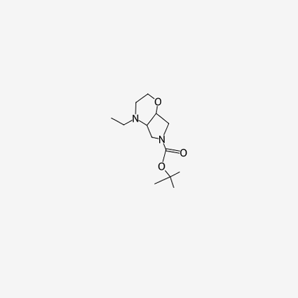 CCN1CCOC2CN(C(=O)OC(C)(C)C)CC21